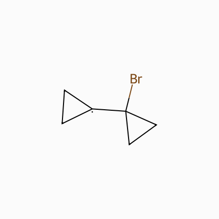 BrC1([C]2CC2)CC1